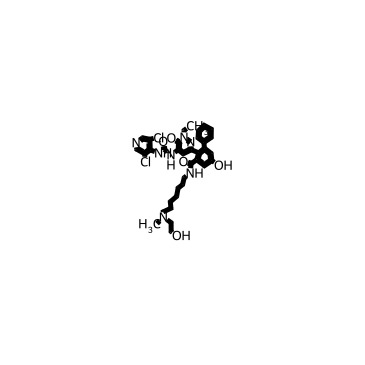 CCn1nc(-c2c(C(=O)NCCCCCCCN(C)CCO)cc(O)cc2-c2ccccc2)cc(NC(=O)Nc2c(Cl)cncc2Cl)c1=O